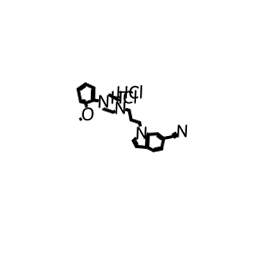 COc1ccccc1N1CCN(CCCn2ccc3ccc(C#N)cc32)CC1.Cl.Cl